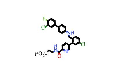 O=C(O)CCNC(=O)c1ccc(-c2cc(Cl)ccc2CNc2ccc(-c3ccc(F)c(Cl)c3)cc2)cn1